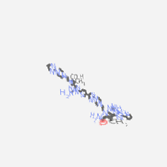 Cc1c(C(N)=O)n(CCN2CCN(c3ncc(-c4ccc(-c5nc6c7c(C)c(C(=O)O)n(CCN8CCN(c9ncccn9)CC8)c7nc(N)n6n5)nc4)cn3)CC2)c2nc(N)n3nc(-c4ccccn4)nc3c12